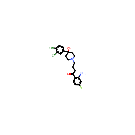 Nc1cc(F)ccc1C(=O)CCCN1CCC(O)(c2ccc(Cl)c(Cl)c2)CC1